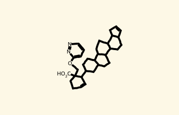 O=C(O)C1(COc2cccnn2)CCC=CC1C1CCC2C(CCC3C2CCC2C4CC=CC4CCC23)C1